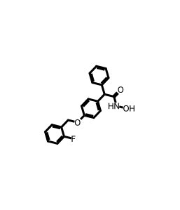 O=C(NO)C(c1ccccc1)c1ccc(OCc2ccccc2F)cc1